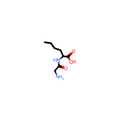 CCCCC(NC(=O)CN)C(=O)O